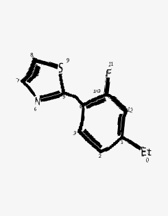 CCc1ccc(-c2nccs2)c(F)c1